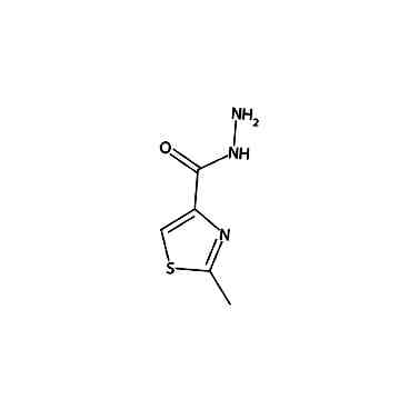 Cc1nc(C(=O)NN)cs1